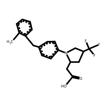 Cc1ccccc1Cc1ccc(N2CC(C(F)(F)F)CC2CC(=O)O)cc1